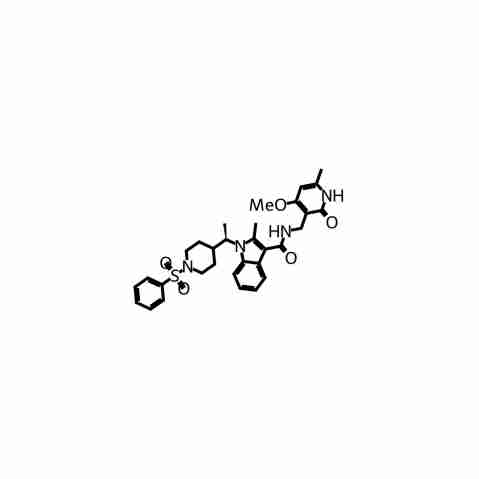 COc1cc(C)[nH]c(=O)c1CNC(=O)c1c(C)n([C@H](C)C2CCN(S(=O)(=O)c3ccccc3)CC2)c2ccccc12